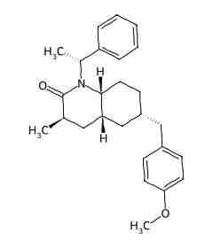 COc1ccc(C[C@H]2CC[C@@H]3[C@H](C2)C[C@@H](C)C(=O)N3[C@H](C)c2ccccc2)cc1